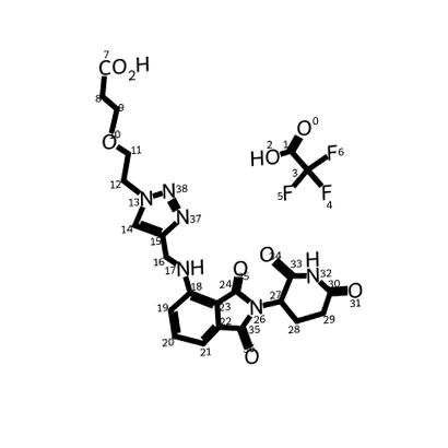 O=C(O)C(F)(F)F.O=C(O)CCOCCn1cc(CNc2cccc3c2C(=O)N(C2CCC(=O)NC2=O)C3=O)nn1